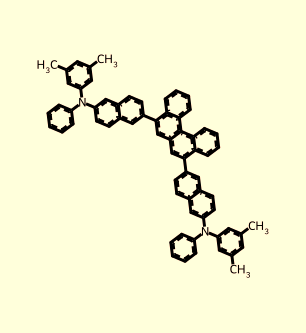 Cc1cc(C)cc(N(c2ccccc2)c2ccc3cc(-c4cc5cc(-c6ccc7cc(N(c8ccccc8)c8cc(C)cc(C)c8)ccc7c6)c6ccccc6c5c5ccccc45)ccc3c2)c1